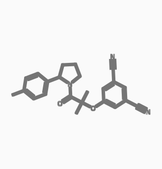 Cc1ccc(C2CCCN2C(=O)C(C)(C)Oc2cc(C#N)cc(C#N)c2)cc1